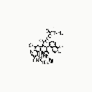 C[C@H](N)C(=O)OCOC(=O)N(c1cc(Cl)c2ncc(C#N)c(NCC(C)(C)C)c2c1)[C@H](c1cn(C23CC(C2)C3)nn1)c1cccc2c(=O)n(C)ccc12